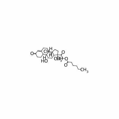 CCCCCC(=O)OCC(=O)[C@@]1(O)CC[C@H]2[C@@H]3CCC4=CC(=O)CC[C@]4(C)[C@H]3[C@@H](O)C[C@@]21C